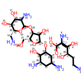 NCC[C@@H](O)/C(O)=C(/N)[C@H](O)O[C@@H]1C(N)C[C@@H](N)C(O)[C@H]1O[C@@H]1O[C@H](CO)C(OC2O[C@H](CN)[C@@H](O)[C@H](O)C2N)C1O